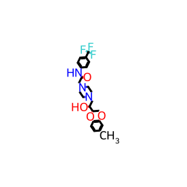 Cc1ccc2c(c1)OCC(C(O)CN1CCN(CC(=O)Nc3ccc(C(F)(F)F)cc3)CC1)O2